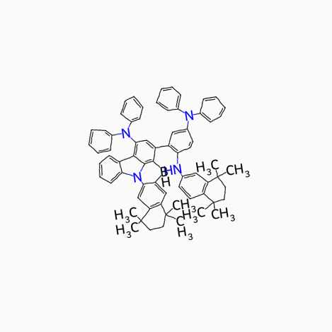 CC1(C)CCC(C)(C)c2cc(Nc3ccc(N(c4ccccc4)c4ccccc4)cc3-c3cc(N(c4ccccc4)c4ccccc4)c4c5ccccc5n5c4c3Bc3cc4c(cc3-5)C(C)(C)CCC4(C)C)ccc21